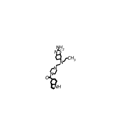 CCCN(CCN1CCN(C(=O)c2ccc3[nH]ccc3c2)CC1)C1CCC2N=C(N)SC2C1